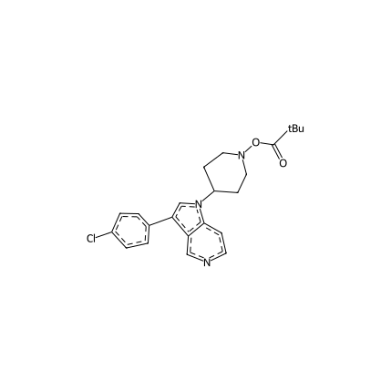 CC(C)(C)C(=O)ON1CCC(n2cc(-c3ccc(Cl)cc3)c3cnccc32)CC1